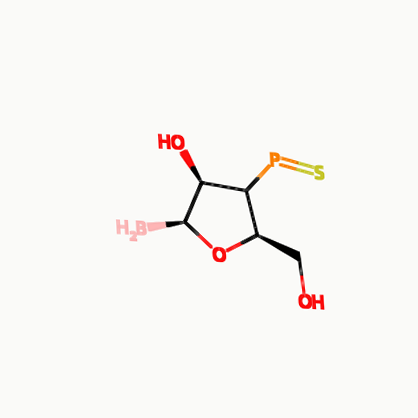 B[C@@H]1O[C@H](CO)C(P=S)[C@@H]1O